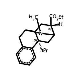 CCC[C@@]12CC3[C@@H](C(=O)OCC)CC1C(Cc1ccccc12)N3C